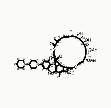 CO[C@H]1/C=C/O[C@@]2(C)Oc3c(C)c(O)c4c(=O)c(c5oc6cc(N7CCC(N8CCCCC8)CC7)cc(O)c6nc-5c4c3/C2=N/O)NC(=O)/C(C)=C\C=C\[C@H](C)[C@H](O)[C@@H](C)[C@@H](O)[C@@H](C)[C@H](OC(C)=O)[C@@H]1C